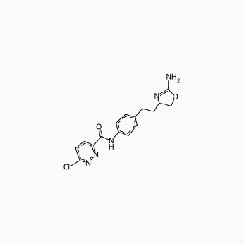 NC1=NC(CCc2ccc(NC(=O)c3ccc(Cl)nn3)cc2)CO1